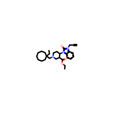 C#CCn1c(=O)n(C2CCN(CC3(CC)CCCCCCC3)CC2C(=O)OCC)c2ccccc21